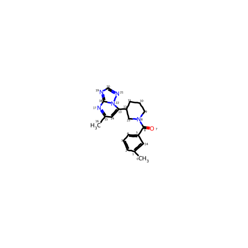 Cc1cccc(C(=O)N2CCCC(c3cc(C)nc4ncnn34)C2)c1